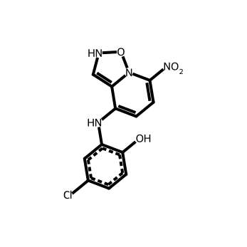 O=[N+]([O-])C1=CC=C(Nc2cc(Cl)ccc2O)C2=CNON21